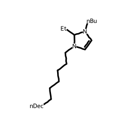 CCCCCCCCCCCCCCCCN1C=CN(CCCC)C1CC